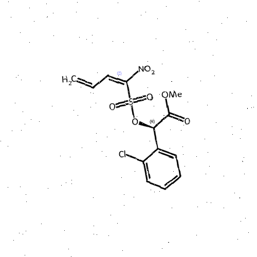 C=C/C=C(/[N+](=O)[O-])S(=O)(=O)O[C@@H](C(=O)OC)c1ccccc1Cl